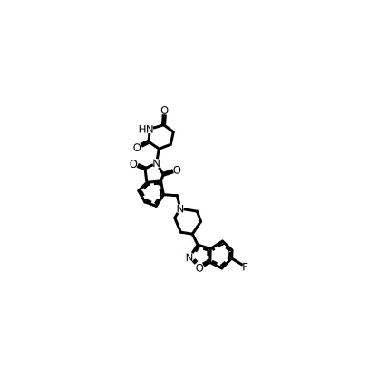 O=C1CCC(N2C(=O)c3cccc(CN4CCC(c5noc6cc(F)ccc56)CC4)c3C2=O)C(=O)N1